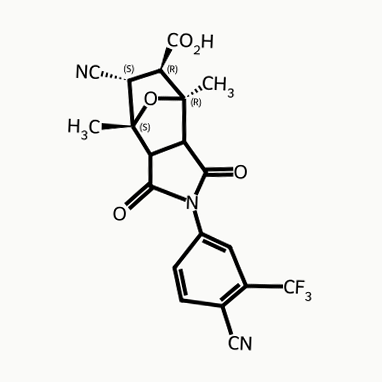 C[C@@]12O[C@](C)(C3C(=O)N(c4ccc(C#N)c(C(F)(F)F)c4)C(=O)C31)[C@H](C(=O)O)[C@H]2C#N